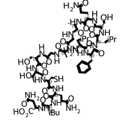 CC[C@H](C)[C@H](NC(=O)[C@H](CCC(N)=O)NC(=O)[C@H](CS)NC(=O)[C@@H](NC(=O)[C@H](CO)NC(=O)CNC(=O)[C@H](C)NC(=O)CNC(=O)[C@H](C)NC(=O)[C@H](CCC(N)=O)NC(=O)[C@H](CO)NC(=O)[C@H](CC(C)C)NC(=O)[C@H](Cc1ccccc1)NC(=O)[C@@H](N)CC(C)C)[C@@H](C)O)C(=O)N[C@@H](CC(N)=O)C(=O)O